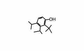 CC(C)c1ccc(O)c(C(C)(C)C)c1C(C)C